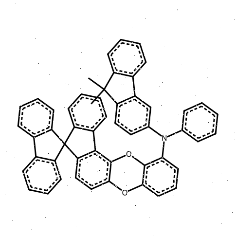 CC1(C)c2ccccc2-c2cc(N(c3ccccc3)c3cccc4c3Oc3c(ccc5c3-c3ccccc3C53c5ccccc5-c5ccccc53)O4)ccc21